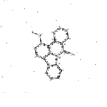 COc1ccc2c3ccccc3n3c(=O)c4ccccc4c1c23